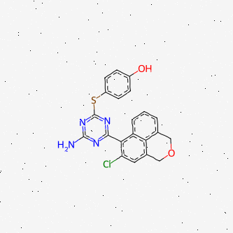 Nc1nc(Sc2ccc(O)cc2)nc(-c2c(Cl)cc3c4c(cccc24)COC3)n1